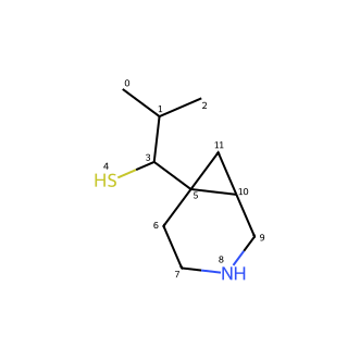 CC(C)C(S)C12CCNCC1C2